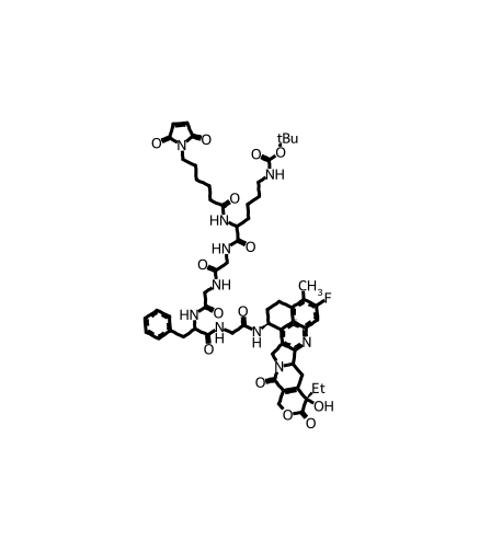 CC[C@@]1(O)C(=O)OCC2=C1CC1c3nc4cc(F)c(C)c5c4c(c3CN1C2=O)[C@@H](NC(=O)CNC(=O)C(Cc1ccccc1)NC(=O)CNC(=O)CNC(=O)C(CCCCNC(=O)OC(C)(C)C)NC(=O)CCCCCN1C(=O)C=CC1=O)CC5